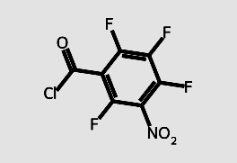 O=C(Cl)c1c(F)c(F)c(F)c([N+](=O)[O-])c1F